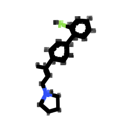 CC(=CCN1CCCC1)c1ccc(-c2ccccc2F)cc1